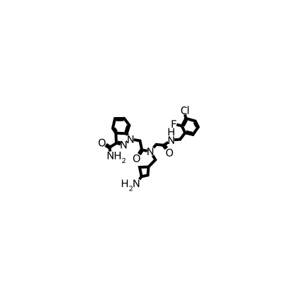 NC(=O)c1nn(CC(=O)N(CC(=O)NCc2cccc(Cl)c2F)CC2CC(N)C2)c2ccccc12